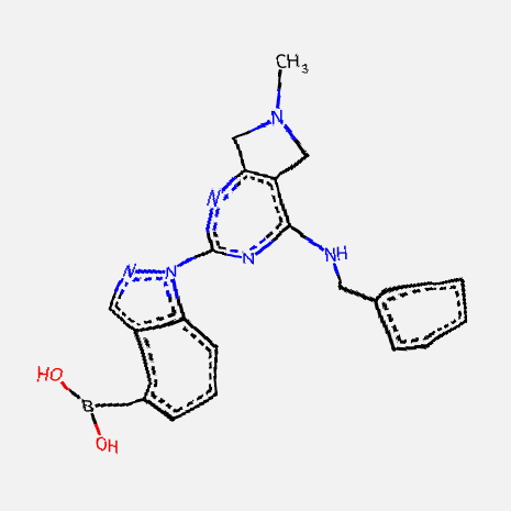 CN1Cc2nc(-n3ncc4c(B(O)O)cccc43)nc(NCc3ccccc3)c2C1